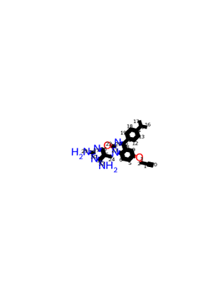 C#CCOc1ccc2c(c1)c(-c1ccc(C(C)C)cc1)nc(=O)n2Cc1cnc(N)nc1N